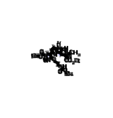 CCOC(=O)c1nc(C)[nH]c1/C=C1\C(=O)Nc2ccc(/C(=C/NC(=O)OC(C)(C)C)C(=N)OCCCNC(=O)OC(C)(C)C)nc21